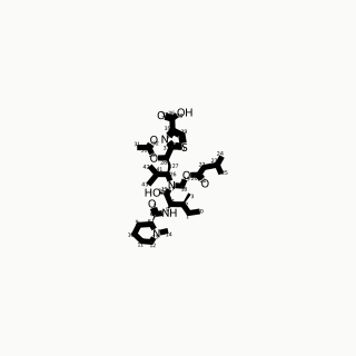 CC[C@H](C)[C@H](NC(=O)[C@H]1CCCCN1C)[C@H](O)N(COC(=O)CC(C)C)[C@H](C[C@@H](OC(C)=O)c1nc(C(=O)O)cs1)C(C)C